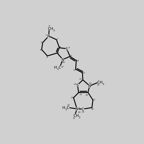 CN1CCCC2=C(C1)SC(=CC=CC1SC3=C(CCC[N+](C)(C)C3)N1C)N2C